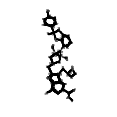 COC(=O)c1cc(F)c2nc(CN3C[C@@H]4[C@H](C3)[C@H]4c3cccc4c3OC(C)(c3ccc(Cl)cn3)O4)n(C[C@@H]3CCO3)c2c1